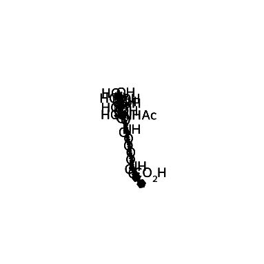 CC(=O)N[C@H]1[C@H](OCCCNC(=O)CCOCCOCCOCCOCCNC(=O)COc2ccc(-c3ccccc3)cc2C(=O)O)O[C@H](CO)[C@@H](O[C@@H]2O[C@H](CO)[C@H](O)[C@H](O[C@H]3O[C@H](CO)[C@H](O)[C@H](O)[C@H]3O)[C@H]2O)[C@@H]1O